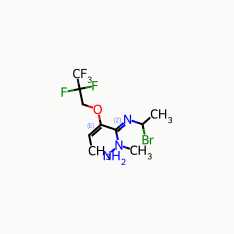 C/C=C(OCC(F)(F)C(F)(F)F)\C(=N\C(C)Br)N(C)N